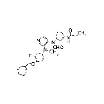 C=CC(=O)Nc1cccc(N(C=O)c2ccncc2N(C)c2ccc(OCc3ccccc3)c(F)c2)c1